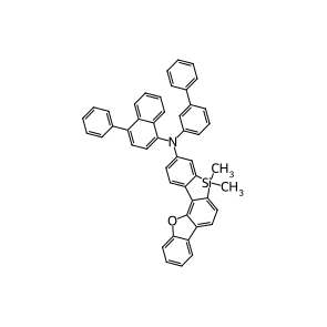 C[Si]1(C)c2cc(N(c3cccc(-c4ccccc4)c3)c3ccc(-c4ccccc4)c4ccccc34)ccc2-c2c1ccc1c2oc2ccccc21